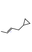 C/C=C/CC1[CH]C1